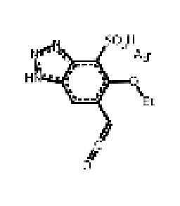 CCOc1c(C=C=O)cc2[nH]nnc2c1S(=O)(=O)O.[Ag]